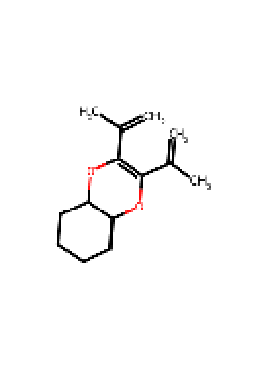 C=C(C)C1=C(C(=C)C)OC2CCCCC2O1